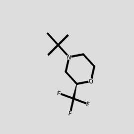 CC(C)(C)N1CCO[C@@H](C(F)(F)F)C1